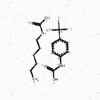 CCCCCCOC(=O)O.O=C(O)Nc1ccc(C(F)(F)F)cc1